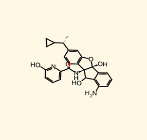 C[C@H](c1ccc2c(c1)O[C@]1(O)c3cccc(N)c3C(O)[C@]21NC(=O)c1cccc(O)n1)C1CC1